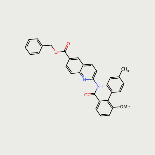 COc1cccc(C(=O)Nc2ccc3cc(C(=O)OCc4ccccc4)ccc3n2)c1-c1ccc(C)cc1